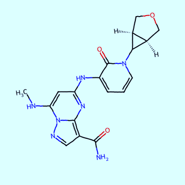 CNc1cc(Nc2cccn(C3[C@H]4COC[C@@H]34)c2=O)nc2c(C(N)=O)cnn12